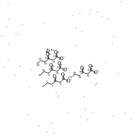 CCCC(=O)CC(=O)[O-].CCCC(=O)CC(=O)[O-].CCCC(=O)CC(=O)[O-].CCCC(=O)CC(=O)[O-].[Zr+4]